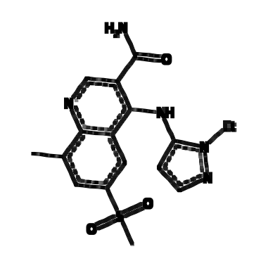 CCn1nccc1Nc1c(C(N)=O)cnc2c(C)cc(S(C)(=O)=O)cc12